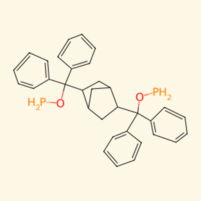 POC(c1ccccc1)(c1ccccc1)C1CC2CC1CC2C(OP)(c1ccccc1)c1ccccc1